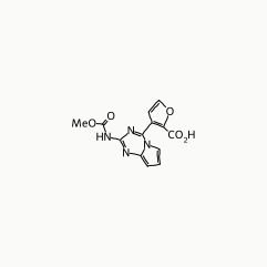 COC(=O)Nc1nc(-c2ccoc2C(=O)O)n2cccc2n1